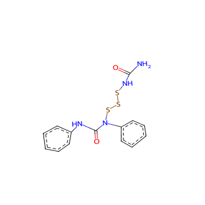 NC(=O)NSSSN(C(=O)Nc1ccccc1)c1ccccc1